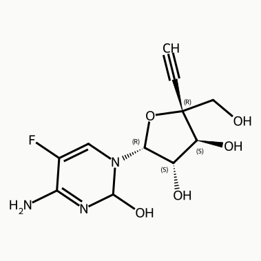 C#C[C@]1(CO)O[C@@H](N2C=C(F)C(N)=NC2O)[C@@H](O)[C@@H]1O